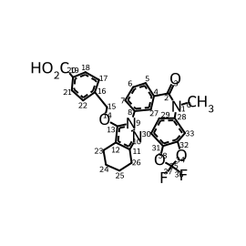 CN(C(=O)c1cccc(-n2nc3c(c2OCc2ccc(C(=O)O)cc2)CCCC3)c1)c1ccc2c(c1)OC(F)(F)O2